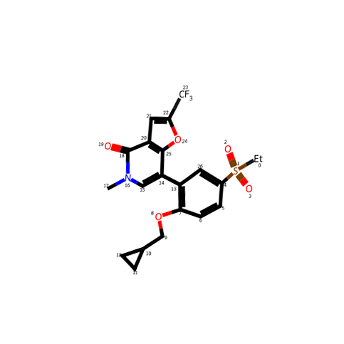 CCS(=O)(=O)c1ccc(OCC2CC2)c(-c2cn(C)c(=O)c3cc(C(F)(F)F)oc23)c1